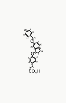 O=C(O)CCc1ccc(OC2CCc3ccc(OCc4ccccc4)cc32)cc1